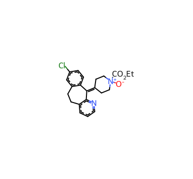 CCOC(=O)[N+]1([O-])CCC(=C2c3ccc(Cl)cc3CCc3cccnc32)CC1